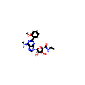 CCNC(=O)[C@H]1O[C@@H](n2cnc3c(NC)nc(-c4ccccc4OC)nc32)[C@H](O)[C@@H]1O